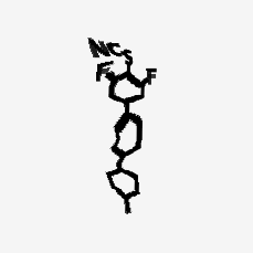 CC1CCC(C2C=CC(c3cc(F)c(SC#N)c(F)c3)=CC2)CC1